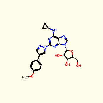 COc1ccc(-c2cnn(-c3nc(NC4CC4)c4ncn([C@@H]5O[C@H](CO)[C@@H](O)[C@H]5O)c4n3)c2)cc1